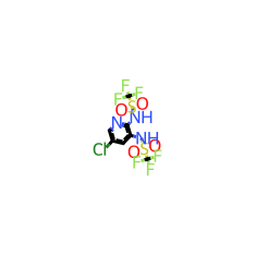 O=S(=O)(Nc1cc(Cl)cnc1NS(=O)(=O)C(F)(F)F)C(F)(F)F